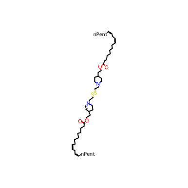 CCCCC/C=C\C/C=C\CCCCCCCC(=O)OCCC1CCN(CCSSCCN2CCC(CCOC(=O)CCCCCCC/C=C\C/C=C\CCCCC)CC2)CC1